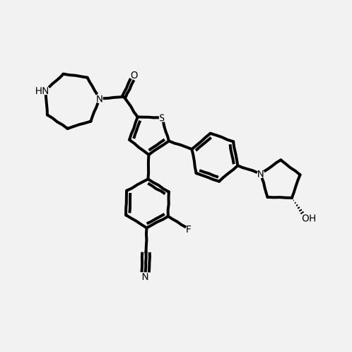 N#Cc1ccc(-c2cc(C(=O)N3CCCNCC3)sc2-c2ccc(N3CC[C@H](O)C3)cc2)cc1F